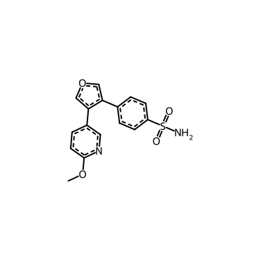 COc1ccc(-c2cocc2-c2ccc(S(N)(=O)=O)cc2)cn1